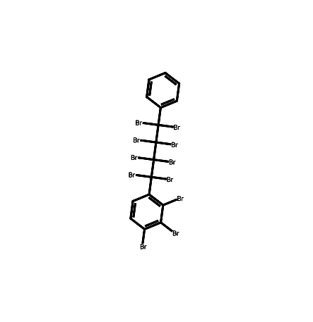 Brc1ccc(C(Br)(Br)C(Br)(Br)C(Br)(Br)C(Br)(Br)c2ccccc2)c(Br)c1Br